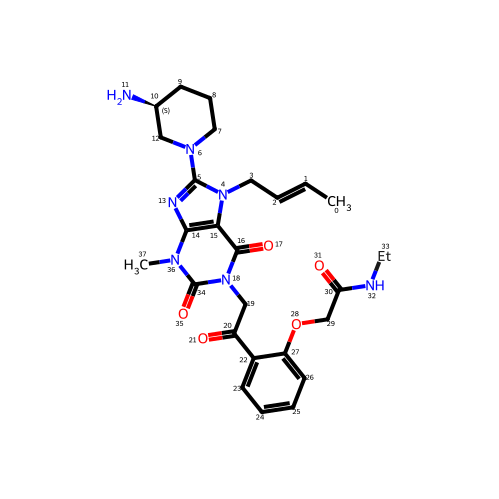 CC=CCn1c(N2CCC[C@H](N)C2)nc2c1c(=O)n(CC(=O)c1ccccc1OCC(=O)NCC)c(=O)n2C